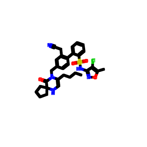 CCCCC1=CNC2(CCCC2)C(=O)N1Cc1ccc(-c2ccccc2S(=O)(=O)Nc2noc(C)c2Cl)c(CC#N)c1